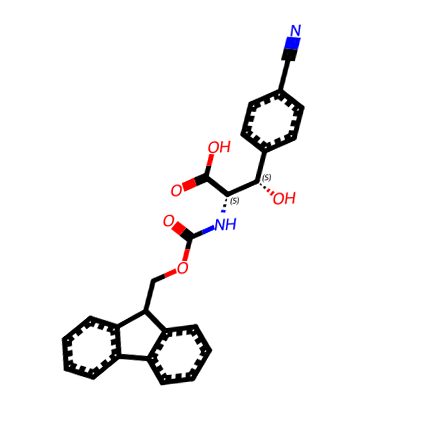 N#Cc1ccc([C@H](O)[C@H](NC(=O)OCC2c3ccccc3-c3ccccc32)C(=O)O)cc1